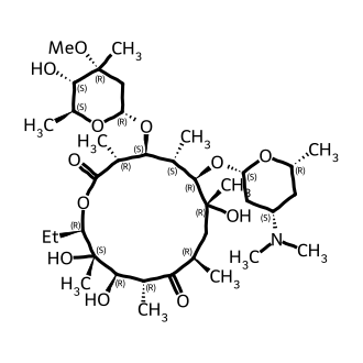 CC[C@H]1OC(=O)[C@H](C)[C@@H](O[C@H]2C[C@@](C)(OC)[C@@H](O)[C@H](C)O2)[C@H](C)[C@@H](O[C@H]2C[C@@H](N(C)C)C[C@@H](C)O2)[C@](C)(O)C[C@@H](C)C(=O)[C@H](C)[C@@H](O)[C@]1(C)O